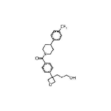 O=C(c1ccc(C2(CCCO)COC2)cc1)N1CCC(c2ccc(C(F)(F)F)cc2)CC1